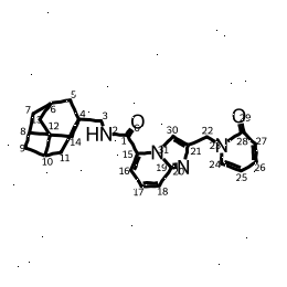 O=C(NCC12CC3CC4CC(C1)C4(C3)C2)c1cccc2nc(Cn3ccccc3=O)cn12